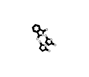 O=C1C=CC(=O)O1.O=C1CCC(=O)O1.O=C1OC(=O)c2ccccc21